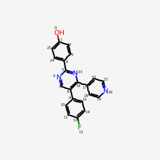 Oc1ccc(-c2ncc(-c3ccc(F)cc3)c(-c3ccncc3)n2)cc1